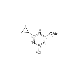 COc1cc(Cl)nc(C2CC2)n1